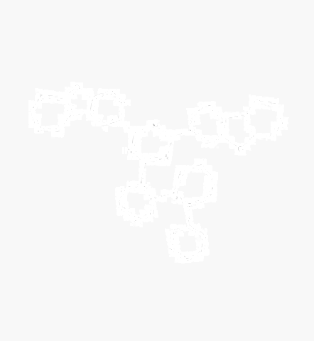 C1=CC2Oc3cc(-c4nc(-c5ccc6oc7ccccc7c6c5)nc(-c5ccccc5-c5ccccc5-c5ccccc5)n4)ccc3C2C=C1